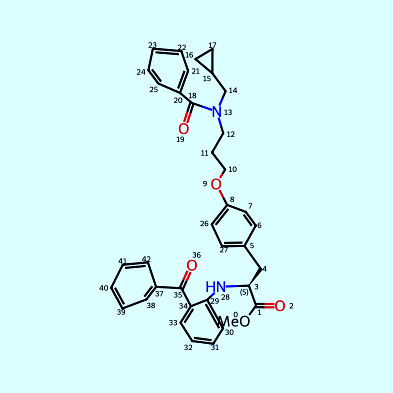 COC(=O)[C@H](Cc1ccc(OCCCN(CC2CC2)C(=O)c2ccccc2)cc1)Nc1ccccc1C(=O)c1ccccc1